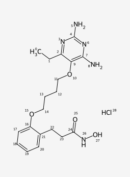 CCc1nc(N)nc(N)c1OCCCCOc1ccccc1CCC(=O)NO.Cl